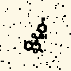 CC1CN(C(=O)Nc2ccc(F)cc2)c2ccccc2O1